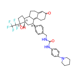 C[C@]12C[C@H](c3ccc(CNC(=O)Nc4ccc(N5CCCCC5)cc4)cc3)C3=C4CCC(=O)C=C4CCC3C1CC[C@@]2(O)C(F)(F)C(F)(F)F